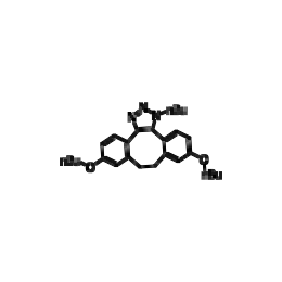 CCCCOc1ccc2c(c1)CCc1cc(OCCCC)ccc1-c1c-2nnn1CCCC